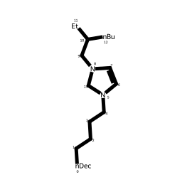 CCCCCCCCCCCCCCN1C=CN(CC(CC)CCCC)C1